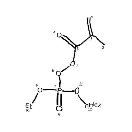 C=C(C)C(=O)OOP(=O)(OCC)OCCCCCC